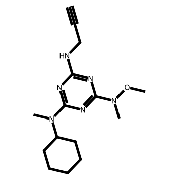 C#CCNc1nc(N(C)OC)nc(N(C)C2CCCCC2)n1